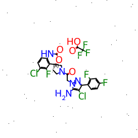 Nc1c(Cl)c(-c2ccc(F)cc2F)nn1CC(=O)N1CC[C@@]2(C1)OC(=O)Nc1ccc(Cl)c(F)c12.O=C(O)C(F)(F)F